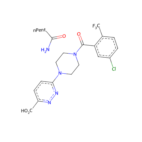 CCCCCC(N)=O.O=C(O)c1ccc(N2CCN(C(=O)c3cc(Cl)ccc3C(F)(F)F)CC2)nn1